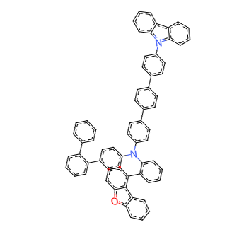 c1ccc(-c2ccccc2-c2ccc(N(c3ccc(-c4ccc(-c5ccc(-n6c7ccccc7c7ccccc76)cc5)cc4)cc3)c3ccccc3-c3cccc4oc5ccccc5c34)cc2)cc1